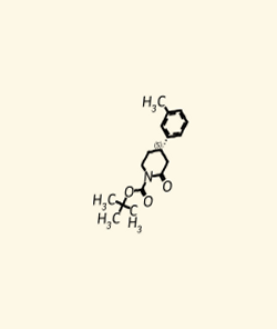 Cc1cccc([C@H]2CCN(C(=O)OC(C)(C)C)C(=O)C2)c1